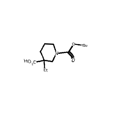 CCC1(C(=O)O)CCCN(C(=O)OC(C)(C)C)C1